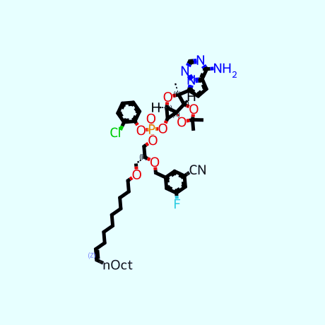 CCCCCCCC/C=C\CCCCCCCCOC[C@H](COP(=O)(Oc1ccccc1Cl)OC1[C@H]2O[C@@](C)(c3ccc4c(N)ncnn34)[C@@H]3OC(C)(C)O[C@]123)OCc1cc(F)cc(C#N)c1